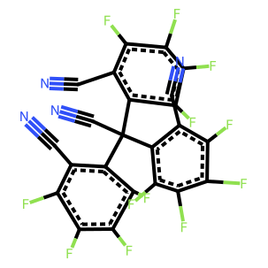 N#Cc1c(F)c(F)c(F)c(F)c1C(C#N)(c1c(F)c(F)c(F)c(F)c1C#N)c1c(F)c(F)c(F)c(F)c1C#N